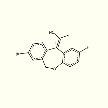 C/C(C#N)=C1/c2ccc(Br)cc2COc2ccc(F)cc21